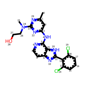 Cc1cc(Nc2nccc3nc(-c4c(Cl)cccc4Cl)[nH]c23)nc(N(C)CCO)n1